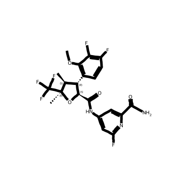 COc1c([C@@H]2[C@@H](C(=O)Nc3cc(F)nc(C(N)=O)c3)O[C@@](C)(C(F)(F)F)[C@H]2C)ccc(F)c1F